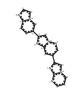 c1cnc2nc(-c3cnn4cc(-c5ccc6nccn6c5)nc4c3)cn2c1